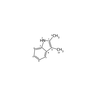 Cc1[nH]c2cc[c]cc2c1C